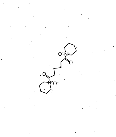 O=C(CCCCC(=O)[N+]1([O-])CCCCC1)[N+]1([O-])CCCCC1